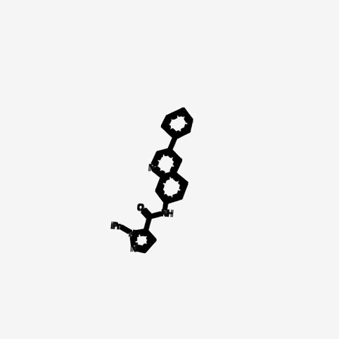 CC(C)n1nccc1C(=O)Nc1ccc2cc(-c3ccccc3)cnc2c1